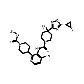 CC(C)(C)OC(=O)N1CCC(c2nccc(C#N)c2NC(=O)N2CCC(C)(c3noc([C@@H]4C[C@@H]4F)n3)CC2)CC1